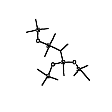 CC([Si](C)(C)O[Si](C)(C)C)[Si](C)(O[Si](C)(C)C)O[Si](C)(C)C